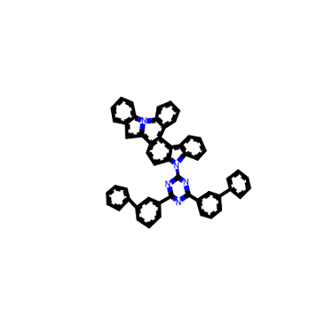 c1ccc(-c2cccc(-c3nc(-c4cccc(-c5ccccc5)c4)nc(-n4c5ccccc5c5c6c7ccccc7n7c8ccccc8cc7c6ccc54)n3)c2)cc1